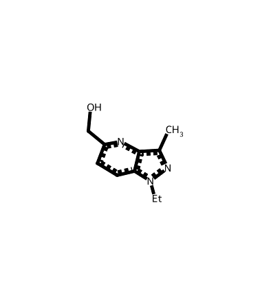 CCn1nc(C)c2nc(CO)ccc21